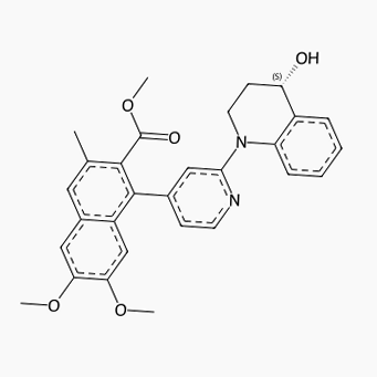 COC(=O)c1c(C)cc2cc(OC)c(OC)cc2c1-c1ccnc(N2CC[C@H](O)c3ccccc32)c1